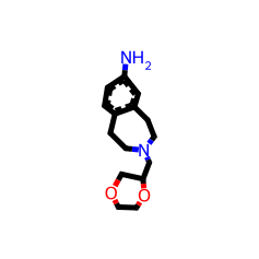 Nc1ccc2c(c1)CCN(CC1COCCO1)CC2